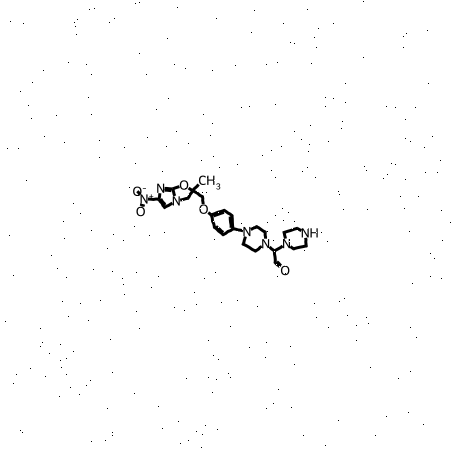 CC1(COc2ccc(N3CCN(C(C=O)N4CCNCC4)CC3)cc2)Cn2cc([N+](=O)[O-])nc2O1